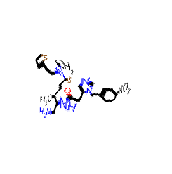 CC(CCC(=S)N(C)Cc1cccs1)C(CN)NC(=O)Cc1cncn1Cc1ccc([N+](=O)[O-])cc1